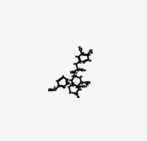 COc1cccc([C@@]23CCN(C)C[C@H]2C(O)C[C@@H](NC(=O)Cc2ccc(Cl)c(Cl)c2)C3)c1